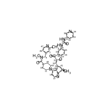 Cc1cc(CN(C)C(=O)C2CCN(c3ccnc4c3c(C=C3Oc5ccc(NC(=O)Nc6cccnc6)cc5C3=O)cn4C)CC2)ccn1